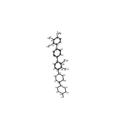 CCCc1ccc(-c2ccc(-c3ccc(C4CCC(C5CCC(C)CC5)CC4)c(F)c3F)cc2)c(F)c1F